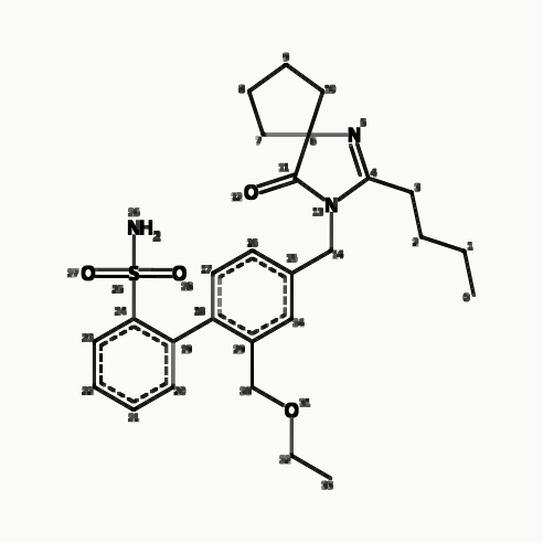 CCCCC1=NC2(CCCC2)C(=O)N1Cc1ccc(-c2ccccc2S(N)(=O)=O)c(COCC)c1